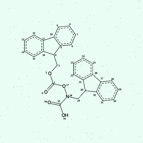 O=C(OCC1c2ccccc2-c2ccccc21)ON(CC1c2ccccc2-c2ccccc21)C(=O)O